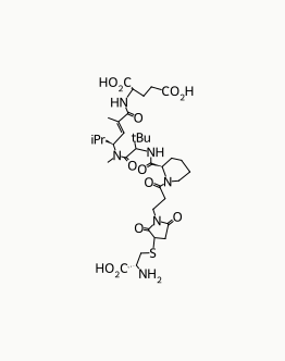 C/C(=C\[C@H](C(C)C)N(C)C(=O)C(NC(=O)[C@H]1CCCCN1C(=O)CCN1C(=O)CC(SC[C@H](N)C(=O)O)C1=O)C(C)(C)C)C(=O)N[C@H](CCC(=O)O)C(=O)O